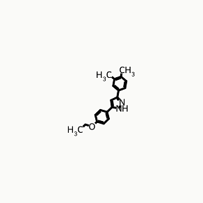 CCOc1ccc(-c2cc(-c3ccc(C)c(C)c3)n[nH]2)cc1